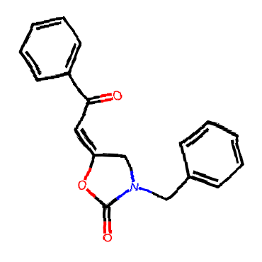 O=C(C=C1CN(Cc2ccccc2)C(=O)O1)c1ccccc1